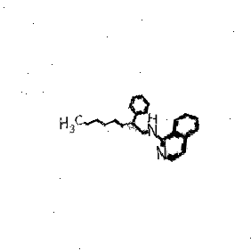 CCCCCC[C@H](CNc1nccc2ccccc12)c1ccccc1